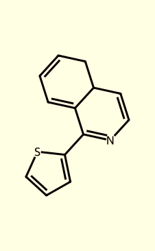 C1=CCC2C=CN=C(c3cccs3)C2=C1